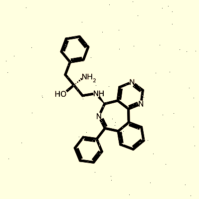 N[C@@](O)(CN[C@@H]1N=C(c2ccccc2)c2ccccc2-c2ncncc21)Cc1ccccc1